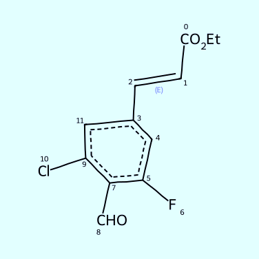 CCOC(=O)/C=C/c1cc(F)c(C=O)c(Cl)c1